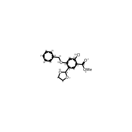 COC(=O)c1cc(C2OCCO2)c(OCc2ccccc2)cc1Cl